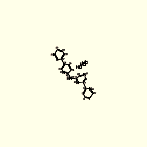 Cl.Cl.Cl.c1ccc(-c2cncc(Nc3ccc(-c4cccnc4)cn3)n2)nc1